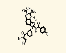 CC(C)C=C(C#N)C(=O)N1CCCC(n2c(NC(=O)c3ccc(Cl)cc3)nc3cc(CN(C(=O)C(F)(F)F)C(C)C(C)(C)C)ccc32)C1